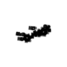 COc1cc(CCC(C)(C)n2cc3ccc(S(C)(=O)=O)cc3c2)ccc1O.Cl